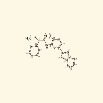 CCC(C(=O)Nc1cc(-c2cn3cccnc3n2)ccc1C)c1ccccc1